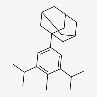 CC(C)c1cc(C23CC4CC(CC(C4)C2)C3)cc(C(C)C)c1I